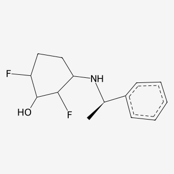 C[C@@H](NC1CCC(F)C(O)C1F)c1ccccc1